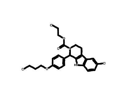 O=C(OCCCl)N1CCc2c([nH]c3ccc(Cl)cc23)C1c1ccc(OCCCCl)cc1